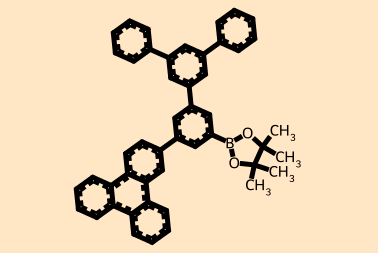 CC1(C)OB(c2cc(-c3cc(-c4ccccc4)cc(-c4ccccc4)c3)cc(-c3ccc4c5ccccc5c5ccccc5c4c3)c2)OC1(C)C